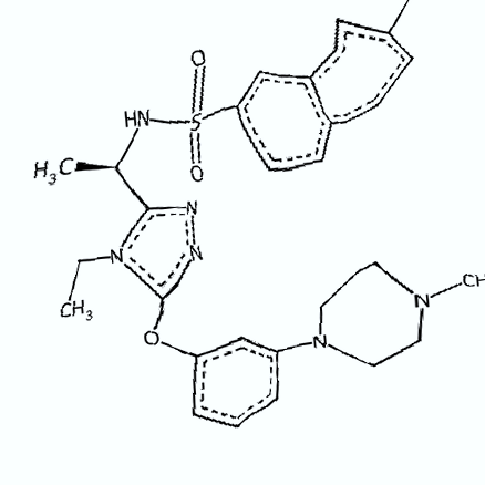 CCn1c(Oc2cccc(N3CCN(C)CC3)c2)nnc1[C@@H](C)NS(=O)(=O)c1ccc2ccc(Cl)cc2c1